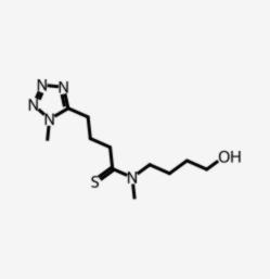 CN(CCCCO)C(=S)CCCc1nnnn1C